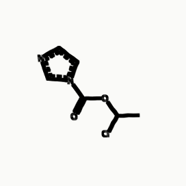 CC(Cl)OC(=O)n1ccnc1